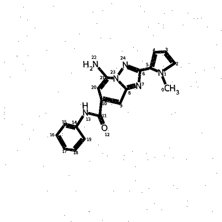 Cn1cccc1-c1nc2cc(C(=O)Nc3ccccc3)cc(N)n2n1